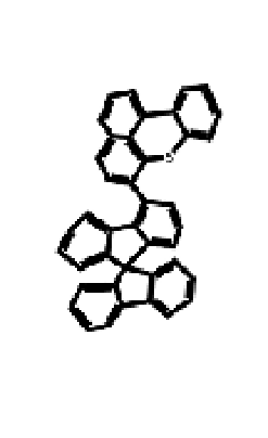 c1ccc2c(c1)Sc1c(-c3cccc4c3-c3ccccc3C43c4ccccc4-c4ccccc43)ccc3cccc-2c13